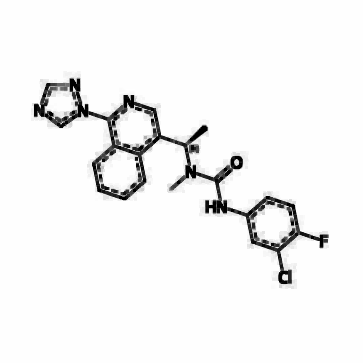 C[C@H](c1cnc(-n2cncn2)c2ccccc12)N(C)C(=O)Nc1ccc(F)c(Cl)c1